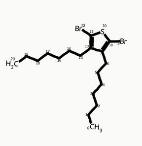 CCCCCCCc1c(Br)sc(Br)c1CCCCCCC